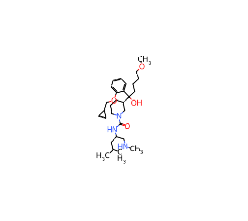 CNCC(CC(C)C)NC(=O)N1CCC[C@@H](C(O)(CCCCOC)c2ccccc2OCC2CC2)C1